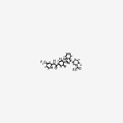 CCC(=O)N1C[C@H](C2=C3C=NC=C[N+]3(N)C(c3ccc(C(=O)Nc4cc(C(F)(F)F)ccn4)cc3F)=N2)CC[C@@H]1C